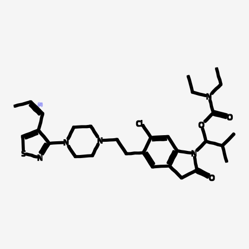 C/C=C\c1csnc1N1CCN(CCc2cc3c(cc2Cl)N(C(OC(=O)N(CC)CC)C(C)C)C(=O)C3)CC1